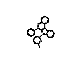 Cc1cccc(-n2c3ccccc3c3c4ccccc4nc(-c4ccccc4)c32)n1